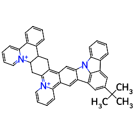 CC(C)(C)c1cc2c3ccccc3n3c4cc5c6c([n+]7ccccc7c5cc4c(c1)c23)CC1C(C6)c2ccccc2-c2cccc[n+]21